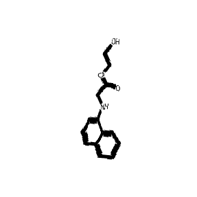 O=C(CNc1cccc2ccccc12)OCCO